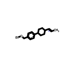 C/C=C/C1CCC(c2ccc(COCC)cc2)CC1